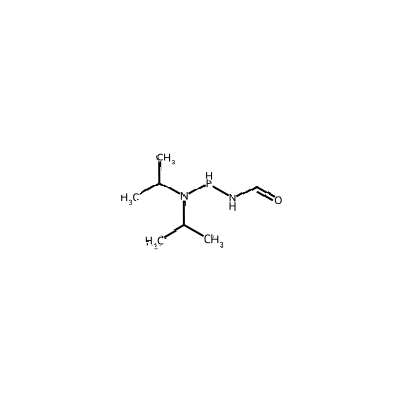 CC(C)N(PNC=O)C(C)C